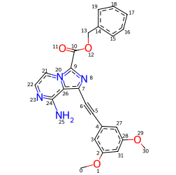 COc1cc(C#Cc2nc(C(=O)OCc3ccccc3)n3ccnc(N)c23)cc(OC)c1